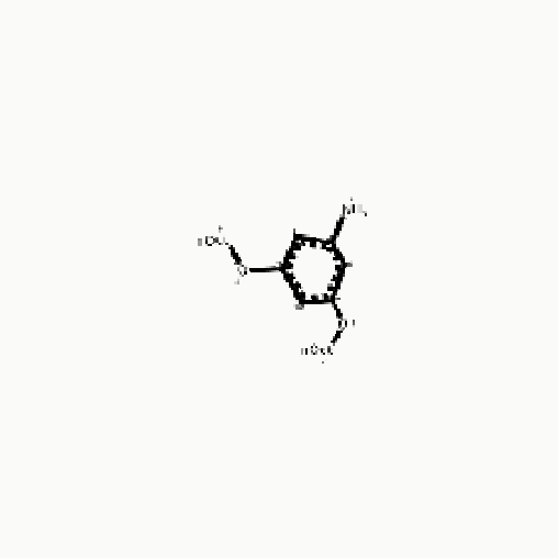 CCCCCCCCOc1cc(N)cc(OCCCCCCCC)c1